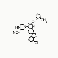 CN1CCC[C@H]1COc1nc2c(c(N3CCN[C@@H](CC#N)C3)n1)CCC1(CCc3c(Cl)cccc31)C2